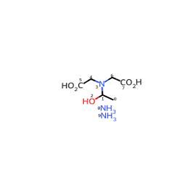 CC(O)N(CC(=O)O)CC(=O)O.N.N